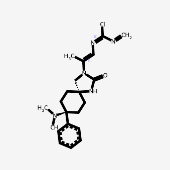 C=N/C(Cl)=N\C=C(/C)N1C[C@]2(CC[C@](c3ccccc3)(N(C)C)CC2)NC1=O